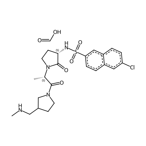 CNCC1CCN(C(=O)[C@H](C)N2CC[C@H](NS(=O)(=O)c3ccc4cc(Cl)ccc4c3)C2=O)C1.O=CO